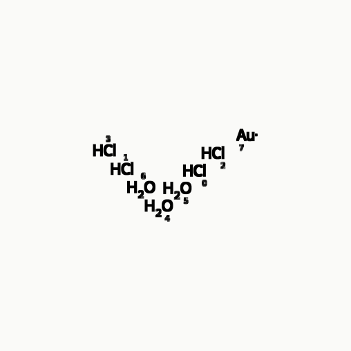 Cl.Cl.Cl.Cl.O.O.O.[Au]